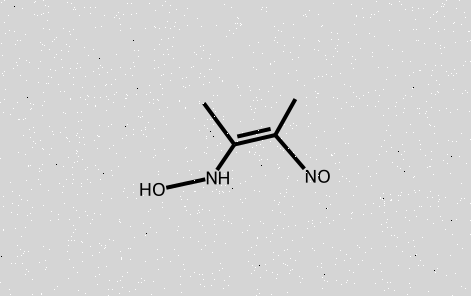 CC(N=O)=C(C)NO